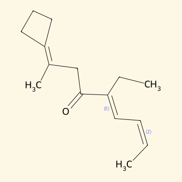 C/C=C\C=C(/CC)C(=O)CC(C)=C1CCC1